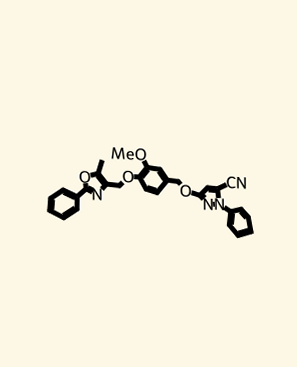 COc1cc(COc2cc(C#N)n(-c3ccccc3)n2)ccc1OCc1nc(-c2ccccc2)oc1C